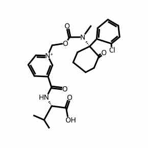 CC(C)[C@H](NC(=O)c1ccc[n+](COC(=O)N(C)[C@@]2(c3ccccc3Cl)CCCCC2=O)c1)C(=O)O